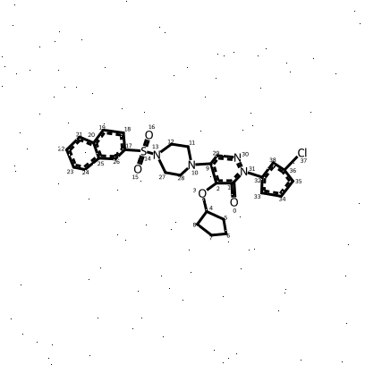 O=c1c(OC2CCCC2)c(N2CCN(S(=O)(=O)c3ccc4ccccc4c3)CC2)cnn1-c1cccc(Cl)c1